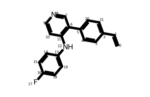 C=Cc1ccc(-c2cnccc2Nc2ccc(F)cc2)cc1